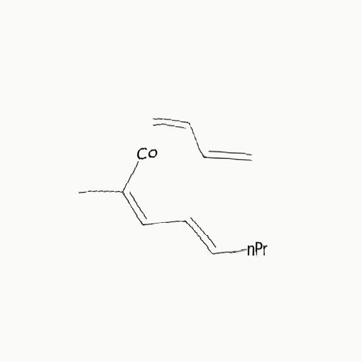 C=CC=C.CCCC=CC=[C](C)[Co]